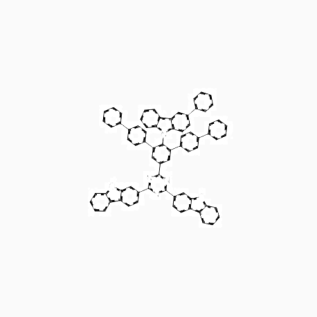 c1ccc(-c2ccc(-c3cc(-c4nc(-c5ccc6c(c5)oc5ccccc56)nc(-c5ccc6c(c5)oc5ccccc56)n4)cc(-c4ccc(-c5ccccc5)cc4)c3-n3c4ccccc4c4cc(-c5ccccc5)ccc43)cc2)cc1